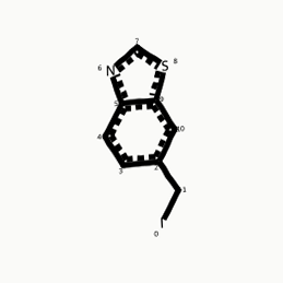 ICc1ccc2ncsc2c1